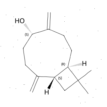 C=C1CC[C@H](O)C(=C)CC[C@@H]2[C@@H]1CC2(C)C